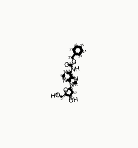 O=C(Nc1ncnc2c1ncn2[C@H]1C[C@H](O)[C@@H](CO)O1)OCc1ccccc1